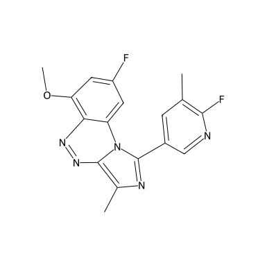 COc1cc(F)cc2c1nnc1c(C)nc(-c3cnc(F)c(C)c3)n12